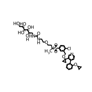 CN(CCOCCNC(=O)NC[C@@H](O)[C@H](O)[C@@H](O)[C@@H](O)CO)S(=O)(=O)c1ccc(Cl)c(COC2(c3cnccc3-c3ccccc3OC3CC3)CC2)c1